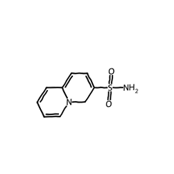 NS(=O)(=O)C1=CC=C2C=CC=CN2C1